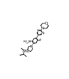 CC(C)N(C)[C@@H]1CCN(c2cc(F)c(-c3cnc(N4CCOCC4)nc3)cc2N)C1